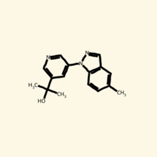 Cc1ccc2c(cnn2-c2cncc(C(C)(C)O)c2)c1